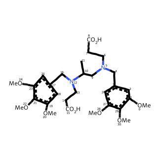 COc1cc(CN(CCC(=O)O)CC(C)N(CCC(=O)O)Cc2cc(OC)c(OC)c(OC)c2)cc(OC)c1OC